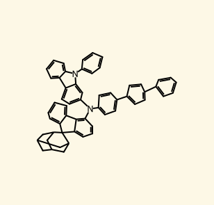 c1ccc(-c2ccc(-c3ccc(N(c4ccc5c6ccccc6n(-c6ccccc6)c5c4)c4cccc5c4-c4ccccc4C54C5CC6CC(C5)CC4C6)cc3)cc2)cc1